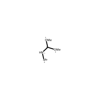 [CH2]CCNC(OC)OC